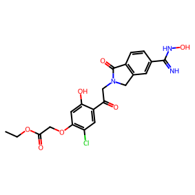 CCOC(=O)COc1cc(O)c(C(=O)CN2Cc3cc(C(=N)NO)ccc3C2=O)cc1Cl